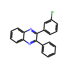 Brc1cccc(-c2nc3ccccc3nc2-c2ccccc2)c1